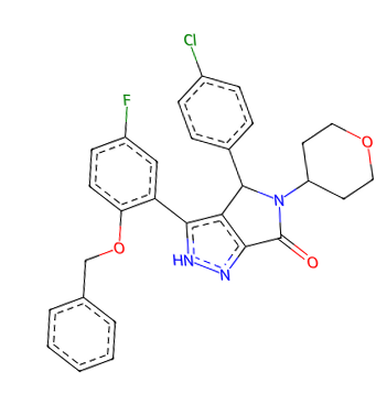 O=C1c2n[nH]c(-c3cc(F)ccc3OCc3ccccc3)c2C(c2ccc(Cl)cc2)N1C1CCOCC1